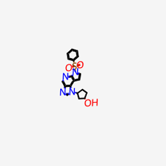 O=S(=O)(c1ccccc1)n1ccc2c3c(cnc21)ncn3C1CCC(O)C1